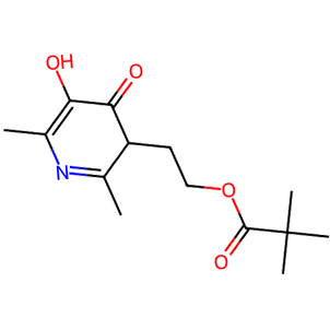 CC1=NC(C)=C(O)C(=O)C1CCOC(=O)C(C)(C)C